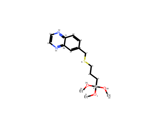 CCO[Si](CCCSCc1ccc2nccnc2c1)(OCC)OCC